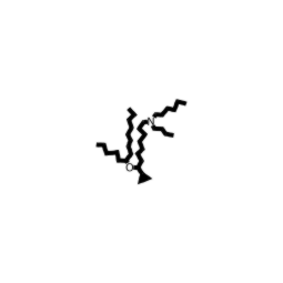 CCCCCCCCC(CCCCC)OC(CCCCCCCN(CCCC)CCCCCC)C1CC1